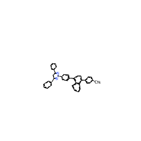 N#Cc1ccc(-c2ccc(-c3ccc(-c4nc(-c5ccccc5)cc(-c5ccccc5)n4)cc3)c3ccccc23)cc1